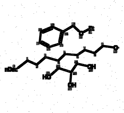 CCCCCCCCCCCCCCCCCCC[O].CCOCc1ccccc1.OCC(O)CO